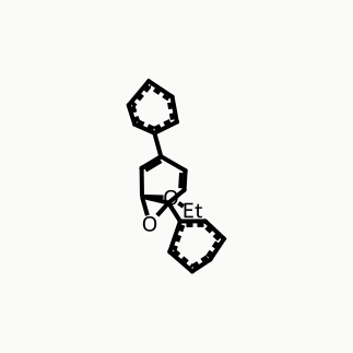 CCOC12C=C(c3ccccc3)C=CC1(c1ccccc1)O2